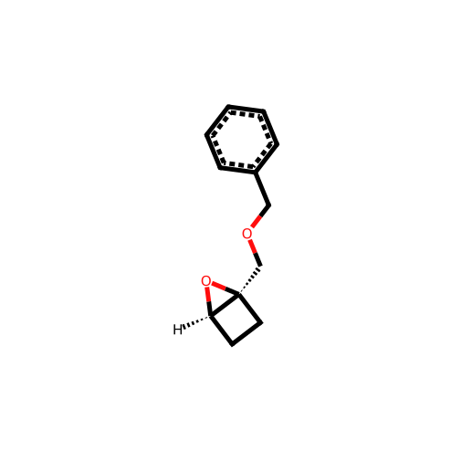 c1ccc(COC[C@]23CC[C@H]2O3)cc1